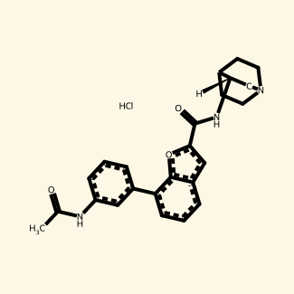 CC(=O)Nc1cccc(-c2cccc3cc(C(=O)N[C@H]4CN5CCC4CC5)oc23)c1.Cl